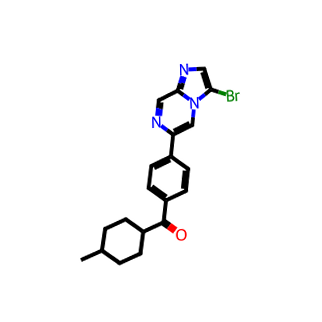 CC1CCC(C(=O)c2ccc(-c3cn4c(Br)cnc4cn3)cc2)CC1